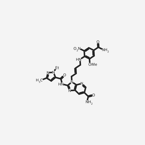 CCn1nc(C)cc1C(=O)Nc1nc2cc(C(N)=O)cnc2n1CC=CCNc1c(OC)cc(C(N)=O)cc1[N+](=O)[O-]